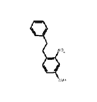 COc1ccc(CCc2ccccc2)c([N+](=O)[O-])c1